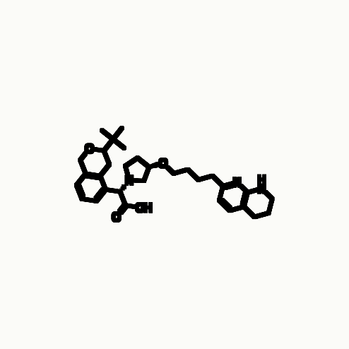 CC(C)(C)C1Cc2c(cccc2[C@@H](C(=O)O)N2CC[C@@H](OCCCCc3ccc4c(n3)NCCC4)C2)CO1